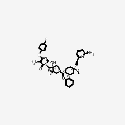 CO[C@]1(C#Cc2cccc(N)n2)CC[C@@H](C(=O)N2CC[C@](O)(Cn3cnc(Oc4ccc(F)cc4)c(N)c3=O)C(F)(F)C2)[C@H](c2ccccc2)C1